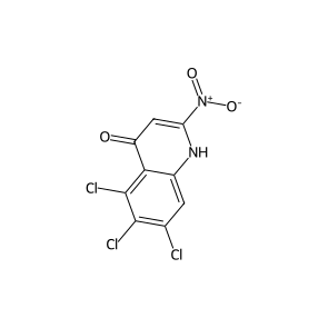 O=c1cc([N+](=O)[O-])[nH]c2cc(Cl)c(Cl)c(Cl)c12